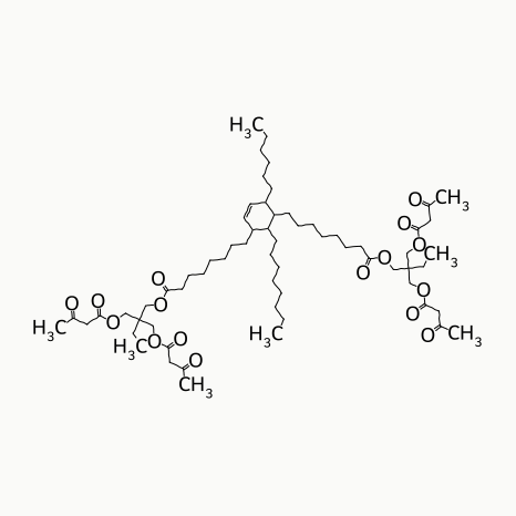 CCCCCCCCC1C(CCCCCCCC(=O)OCC(CC)(COC(=O)CC(C)=O)COC(=O)CC(C)=O)C=CC(CCCCCC)C1CCCCCCCC(=O)OCC(CC)(COC(=O)CC(C)=O)COC(=O)CC(C)=O